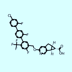 O=C(O)[C@H]1[C@@H]2Cc3cc(OCc4cc(-c5ccc(-c6ccc(Cl)cc6F)cc5F)c(C(F)(F)F)cc4F)ncc3[C@@H]21